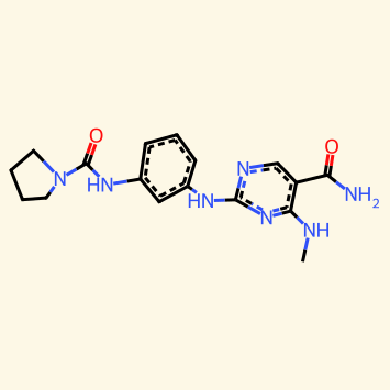 CNc1nc(Nc2cccc(NC(=O)N3CCCC3)c2)ncc1C(N)=O